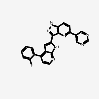 Fc1ccccc1-c1ccnc2[nH]c(-c3n[nH]c4ccc(-c5cncnc5)nc34)cc12